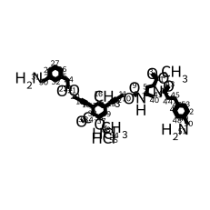 COC(=O)C1CC(NC(=O)OCC#CC2=C(C)C(C#CCOC(=O)Cc3cccc(CN)c3)C(=C=O)C(OC)=C2)CN1C(=O)CCc1ccc(CN)cc1.Cl.Cl